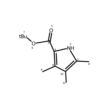 Cc1[nH]c(C(=O)OC(C)(C)C)c(C)c1C